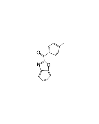 Cc1ccc(C(=O)c2nc3ccccc3o2)cc1